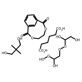 CC(C)(CO)CO.O=C(O)CCCCC(=O)O.O=C1OCCOC(=O)c2cccc1c2.OCC(O)OOCC(O)OO